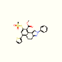 COC(=O)c1c(SS(C)(=O)=O)cc(-c2cccs2)c2c1-c1cn(-c3ccccc3)nc1CC2